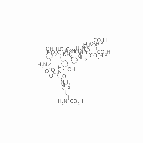 CC(C)[C@H](N)C(=O)O.NC(=O)C[C@H](N)C(=O)OC(=O)[C@@H](N)Cc1ccc(O)cc1.NCCCC[C@H](N)C(=O)O.N[C@@H](CCC(=O)O)C(=O)O.N[C@@H](CCC(=O)O)C(=O)O.N[C@@H](Cc1ccc(O)cc1)C(=O)O.N[C@@H](Cc1ccccc1)C(=O)O